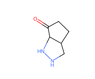 O=C1CCC2CNNC12